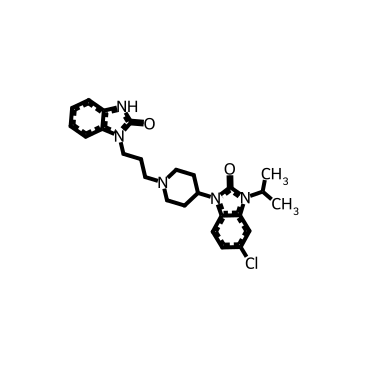 CC(C)n1c(=O)n(C2CCN(CCCn3c(=O)[nH]c4ccccc43)CC2)c2ccc(Cl)cc21